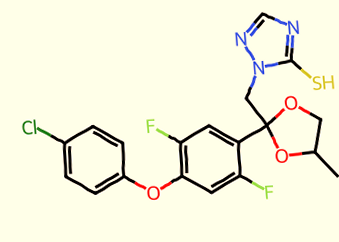 CC1COC(Cn2ncnc2S)(c2cc(F)c(Oc3ccc(Cl)cc3)cc2F)O1